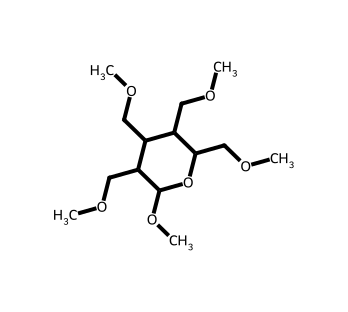 COCC1OC(OC)C(COC)C(COC)C1COC